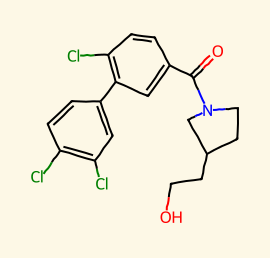 O=C(c1ccc(Cl)c(-c2ccc(Cl)c(Cl)c2)c1)N1CCC(CCO)C1